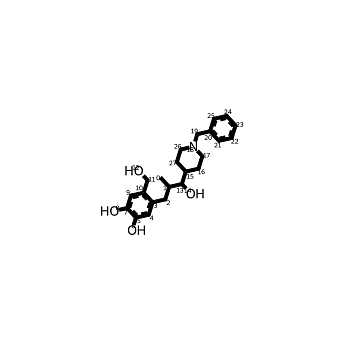 CC(Cc1cc(O)c(O)cc1CO)C(O)C1CCN(Cc2ccccc2)CC1